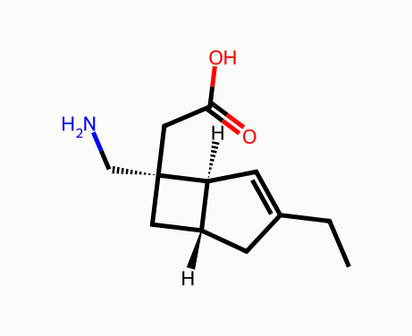 CCC1=C[C@H]2[C@H](C1)C[C@@]2(CN)CC(=O)O